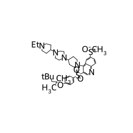 CCN1CCC(N2CCN(C3CCN(c4c(S(=O)(=O)c5ccc(OC(C)(C)CC(C)(C)C)cc5)cnc5ccc([S+](C)[O-])cc45)CC3)CC2)CC1